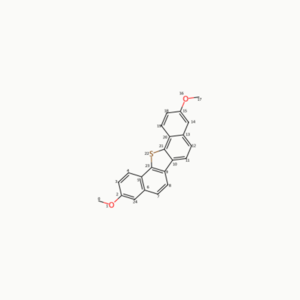 COc1ccc2c(ccc3c4ccc5cc(OC)ccc5c4sc23)c1